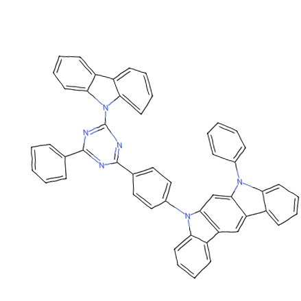 c1ccc(-c2nc(-c3ccc(-n4c5ccccc5c5cc6c7ccccc7n(-c7ccccc7)c6cc54)cc3)nc(-n3c4ccccc4c4ccccc43)n2)cc1